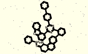 N=C1/C(=N\Nc2ccccc2)C=Cc2ccc3cc(-c4ccccc4-c4nc(-c5ccc(-c6ccccc6)cc5)nc(-c5cccc6oc7ccccc7c56)n4)ccc3c21